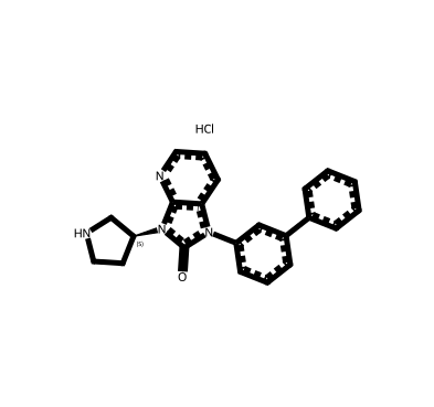 Cl.O=c1n(-c2cccc(-c3ccccc3)c2)c2cccnc2n1[C@H]1CCNC1